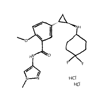 COc1ccc([C@@H]2C[C@H]2NC2CCC(F)(F)CC2)cc1C(=O)Nc1cnn(C)c1.Cl.Cl